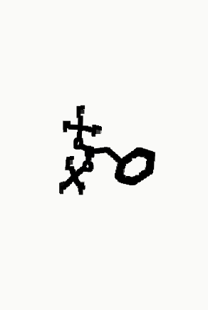 FC(F)(F)OB(Cc1ccccc1)OC(F)(F)F